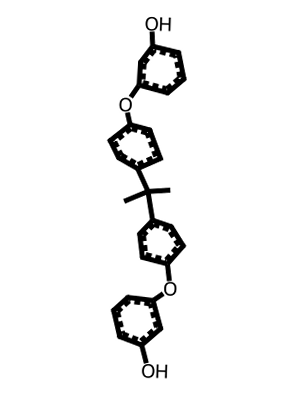 CC(C)(c1ccc(Oc2cccc(O)c2)cc1)c1ccc(Oc2cccc(O)c2)cc1